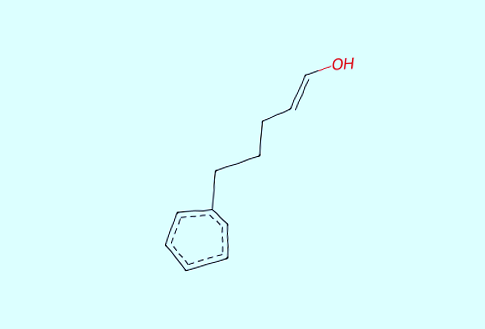 OC=CCCCc1ccccc1